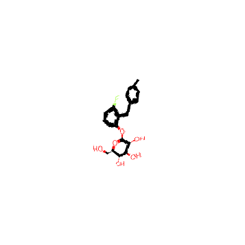 Cc1ccc(Cc2c(F)cccc2O[C@@H]2O[C@H](CO)[C@@H](O)[C@H](O)[C@H]2O)cc1